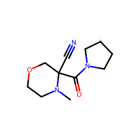 CN1CCOCC1(C#N)C(=O)N1C[CH]CC1